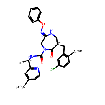 CC[C@@H](NC(=O)N1C/C(=N/Oc2ccccc2)NC[C@@H](Cc2cc(Cl)ccc2OC)C1=O)c1cc(C(=O)O)ccn1